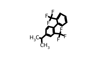 CC(C)c1ccc(-c2ccccc2C(F)(F)F)c(C(F)(F)F)c1